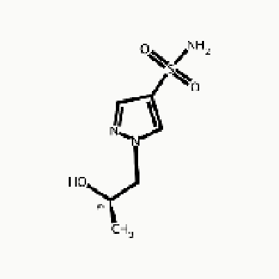 C[C@@H](O)Cn1cc(S(N)(=O)=O)cn1